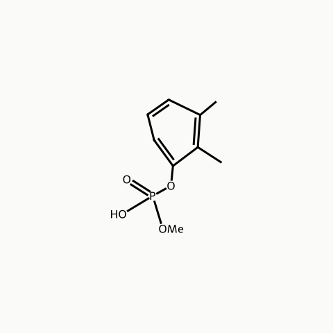 COP(=O)(O)Oc1cccc(C)c1C